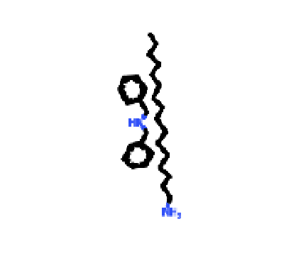 CCCCCCCCCCCCCCCCN.c1ccc(CNCc2ccccc2)cc1